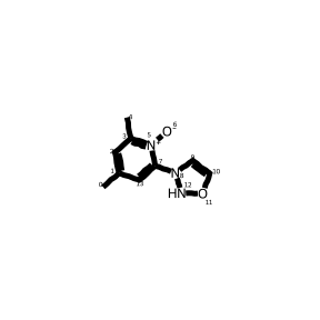 Cc1cc(C)[n+]([O-])c(N2C=CON2)c1